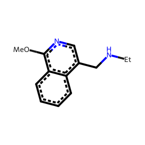 CCNCc1cnc(OC)c2ccccc12